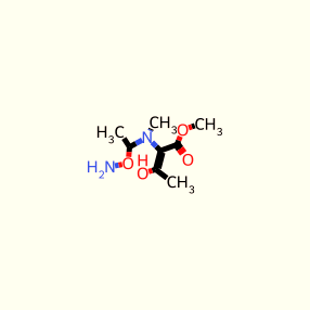 COC(=O)/C(=C(\C)O)N(C)C(C)ON